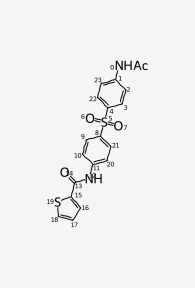 CC(=O)Nc1ccc(S(=O)(=O)c2ccc(NC(=O)c3cccs3)cc2)cc1